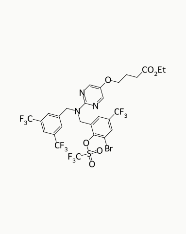 CCOC(=O)CCCOc1cnc(N(Cc2cc(C(F)(F)F)cc(C(F)(F)F)c2)Cc2cc(C(F)(F)F)cc(Br)c2OS(=O)(=O)C(F)(F)F)nc1